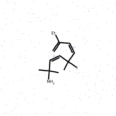 C=C(/C=C\C(C)(I)/C=C\C(C)(C)N)CC